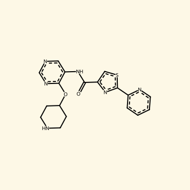 O=C(Nc1cncnc1OC1CCNCC1)c1csc(-c2ccccn2)n1